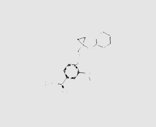 COc1cc(C(=O)O)ccc1OCC1(OC2CCCCO2)CC1